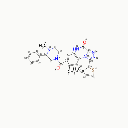 Cc1cc2c(cc1C(=O)N1CCN(C)C(c3ccccc3)C1)[nH]c(=O)c1nnc(C3SC=CC3C)n12